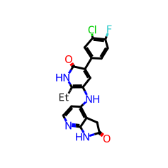 CCc1[nH]c(=O)c(-c2ccc(F)c(Cl)c2)cc1Nc1ccnc2c1CC(=O)N2